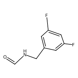 O=CNCc1cc(F)cc(F)c1